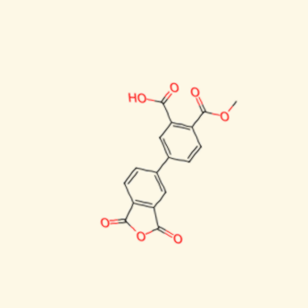 COC(=O)c1ccc(-c2ccc3c(c2)C(=O)OC3=O)cc1C(=O)O